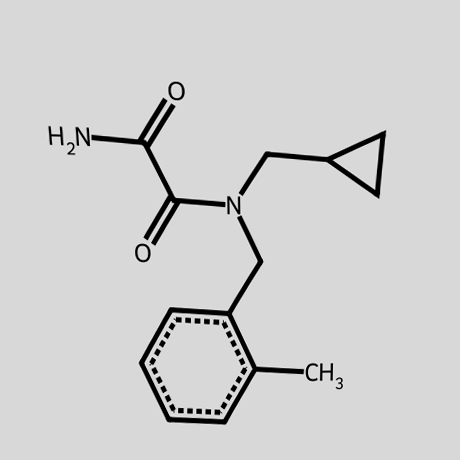 Cc1ccccc1CN(CC1CC1)C(=O)C(N)=O